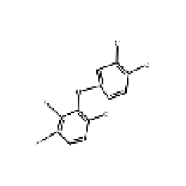 [O]c1ccc(F)c(F)c1Oc1ccc(Cl)c(Cl)c1